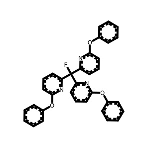 FC(c1cccc(Oc2ccccc2)n1)(c1cccc(Oc2ccccc2)n1)c1cccc(Oc2ccccc2)n1